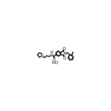 Cc1ccccc1CN1C(=O)c2ccc(C(=O)NCCCN3CCCC3)cc2C1=O.Cl